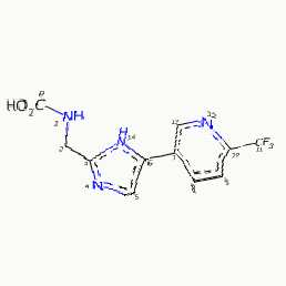 O=C(O)NCc1ncc(-c2ccc(C(F)(F)F)nc2)[nH]1